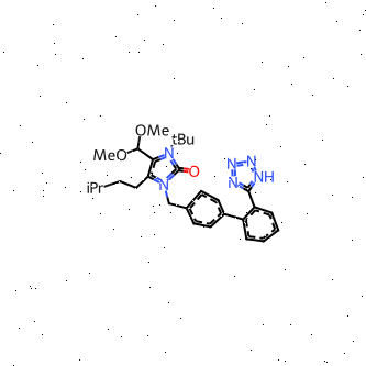 COC(OC)c1c(CCC(C)C)n(Cc2ccc(-c3ccccc3-c3nnn[nH]3)cc2)c(=O)n1C(C)(C)C